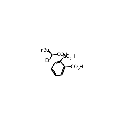 CCCCC(CC)C(=O)O.O=C(O)c1ccccc1C(=O)O